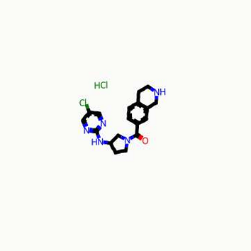 Cl.O=C(c1ccc2c(c1)CNCC2)N1CCC(Nc2ncc(Cl)cn2)C1